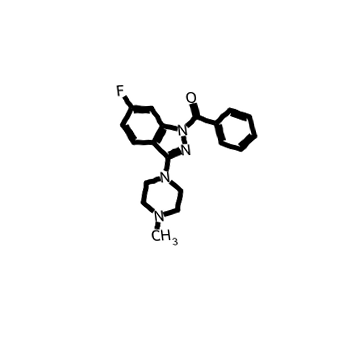 CN1CCN(c2nn(C(=O)c3ccccc3)c3cc(F)ccc23)CC1